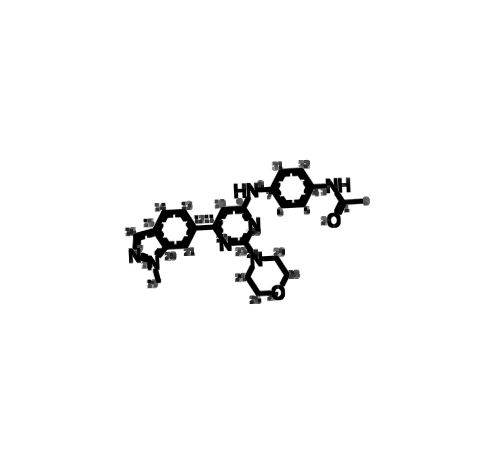 CC(=O)Nc1ccc(Nc2cc(-c3ccc4cnn(C)c4c3)nc(N3CCOCC3)n2)cc1